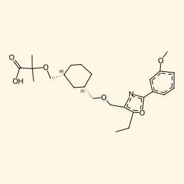 CCc1oc(-c2cccc(OC)c2)nc1COC[C@H]1CCC[C@@H](COC(C)(C)C(=O)O)C1